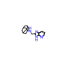 c1cnc2[nH]c(CNC34CC5CC(CC(C5)C3)C4)nc2c1